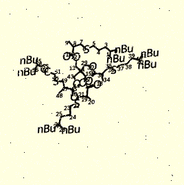 CCCCC(CCCC)CCCSCC(C)C(=O)OCC(COC(=O)C(C)CSCCCC(CCCC)CCCC)(COC(=O)C(C)CSCCCC(CCCC)CCCC)COC(=O)C(C)CSCCCC(CCCC)CCCC